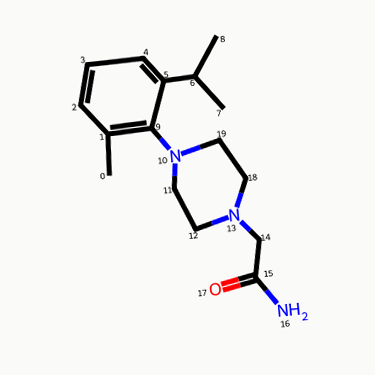 Cc1cccc(C(C)C)c1N1CCN(CC(N)=O)CC1